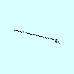 C1CC1.CCCCCCCCCCCCCOCCCCCCCCCCCCC.N